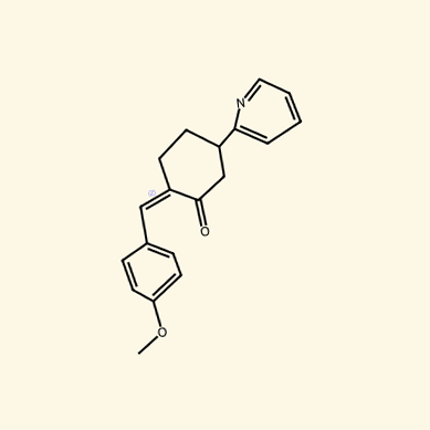 COc1ccc(/C=C2/CCC(c3ccccn3)CC2=O)cc1